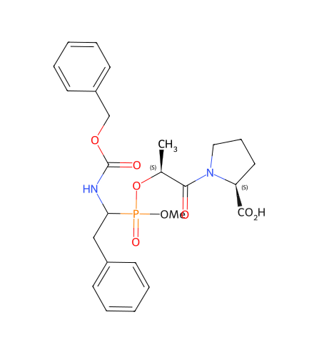 COP(=O)(O[C@@H](C)C(=O)N1CCC[C@H]1C(=O)O)C(Cc1ccccc1)NC(=O)OCc1ccccc1